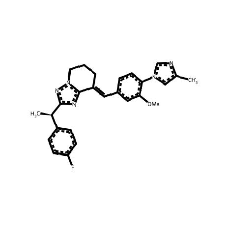 COc1cc(/C=C2\CCCn3nc([C@H](C)c4ccc(F)cc4)nc32)ccc1-n1cnc(C)c1